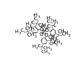 CCC(C)(C)c1ccc(OP(=O)(Oc2ccc(C(C)(C)CC)cc2C(C)(C)CC)Oc2ccc(C(C)(C)CC)cc2C(C)(C)CC)c(C(C)(C)CC)c1